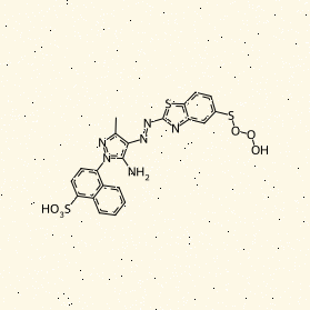 Cc1nn(-c2ccc(S(=O)(=O)O)c3ccccc23)c(N)c1/N=N/c1nc2cc(SOOO)ccc2s1